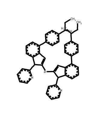 CCC(C)c1ccc(-c2cccc3c2C=[C]([Zr][C]2=Cc4c(-c5ccc(C(C)CC)cc5)cccc4C2c2ccccn2)C3c2ccccn2)cc1